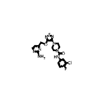 Nc1nccc(COc2nsnc2N2CCN(C(=O)Nc3ccc(F)c(Cl)c3)CC2)n1